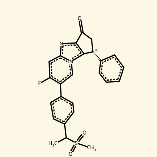 CC(c1ccc(-c2cn3c4c(nc3cc2F)C(=O)C[C@@H]4c2ccccc2)cc1)S(C)(=O)=O